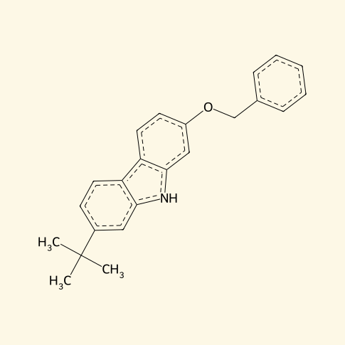 CC(C)(C)c1ccc2c(c1)[nH]c1cc(OCc3ccccc3)ccc12